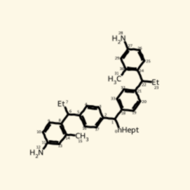 CCCCCCCC(c1ccc(C(CC)c2ccc(N)cc2C)cc1)c1ccc(C(CC)c2ccc(N)cc2C)cc1